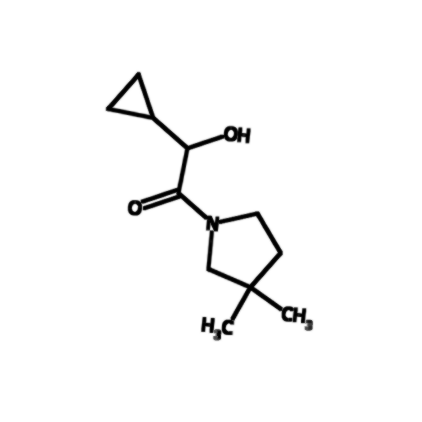 CC1(C)CCN(C(=O)C(O)C2CC2)C1